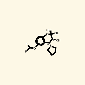 CC1(C)Oc2ccc(OC(F)F)cc2[C@@H](N2CCCC2)[C@@H]1O